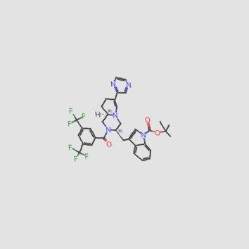 CC(C)(C)OC(=O)n1cc(C[C@@H]2CN3C=C(c4cnccn4)CC[C@@H]3CN2C(=O)c2cc(C(F)(F)F)cc(C(F)(F)F)c2)c2ccccc21